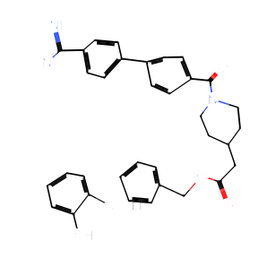 Cc1ccccc1S(=O)(=O)O.N=C(N)c1ccc(-c2ccc(C(=O)N3CCC(CC(=O)OCc4ccccc4)CC3)cc2)cc1